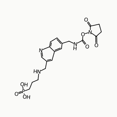 O=C(NCc1ccc2ncc(CNCCCP(=O)(O)O)cc2c1)ON1C(=O)CCC1=O